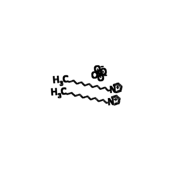 CCCCCCCCCCCC[n+]1ccccc1.CCCCCCCCCCCC[n+]1ccccc1.O=S(=O)([O-])[O-]